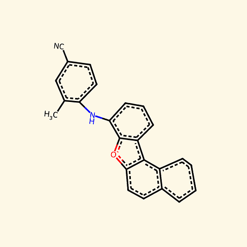 Cc1cc(C#N)ccc1Nc1cccc2c1oc1ccc3ccccc3c12